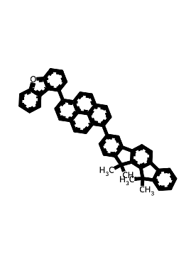 CC1(C)c2ccccc2-c2ccc3c(c21)C(C)(C)c1ccc(-c2ccc4ccc5c(-c6cccc7oc8ccccc8c67)ccc6ccc2c4c65)cc1-3